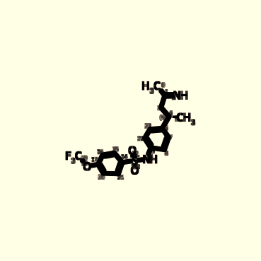 CC(=N)C[C@H](C)c1ccc(NS(=O)(=O)c2ccc(OC(F)(F)F)cc2)cc1